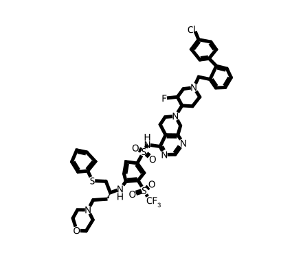 O=S(=O)(Nc1ncnc2c1CCN(C1CCN(Cc3ccccc3-c3ccc(Cl)cc3)CC1F)C2)c1ccc(N[C@H](CCN2CCOCC2)CSc2ccccc2)c(S(=O)(=O)C(F)(F)F)c1